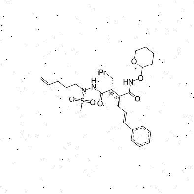 C=CCCCN(NC(=O)[C@H](CC(C)C)[C@H](CC=Cc1ccccc1)C(=O)NOC1CCCCO1)S(C)(=O)=O